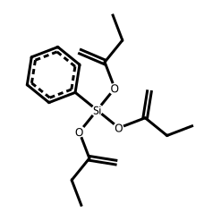 C=C(CC)O[Si](OC(=C)CC)(OC(=C)CC)c1ccccc1